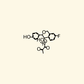 CC(=O)C(=O)N(C)OC1(O)c2ccc(F)cc2COC1c1ccc(O)cc1